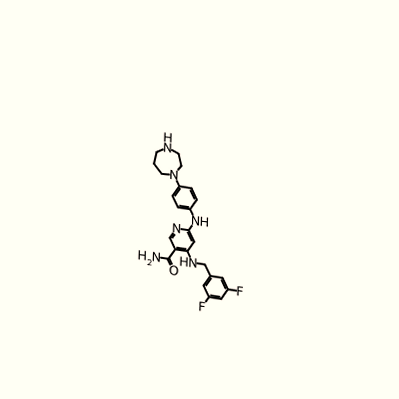 NC(=O)c1cnc(Nc2ccc(N3CCCNCC3)cc2)cc1NCc1cc(F)cc(F)c1